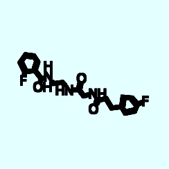 O=C(CCc1ccc(F)cc1)NCC(=O)NCCNC(O)c1ccccc1F